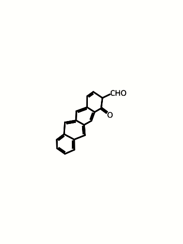 O=CC1C=Cc2cc3cc4ccccc4cc3cc2C1=O